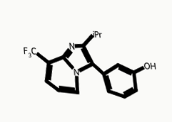 CC(C)c1nc2c(C(F)(F)F)cccn2c1-c1cccc(O)c1